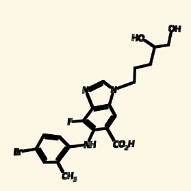 Cc1cc(Br)ccc1Nc1c(C(=O)O)cc2c(ncn2CCCC(O)CO)c1F